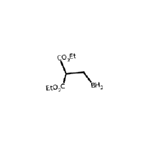 BCC(C(=O)OCC)C(=O)OCC